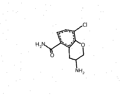 NC(=O)c1ccc(Cl)c2c1CC(N)CO2